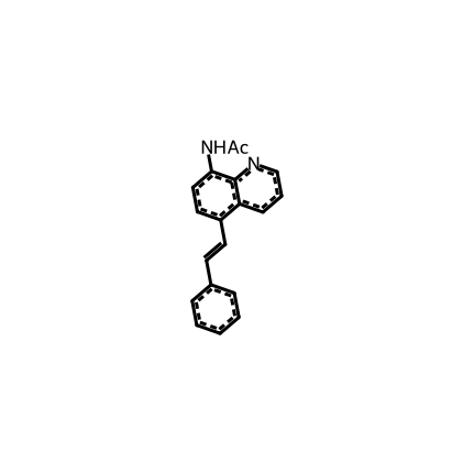 CC(=O)Nc1ccc(C=Cc2ccccc2)c2cccnc12